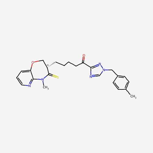 Cc1ccc(Cn2cnc(C(=O)CCCC[C@H]3COc4cccnc4N(C)C3=S)n2)cc1